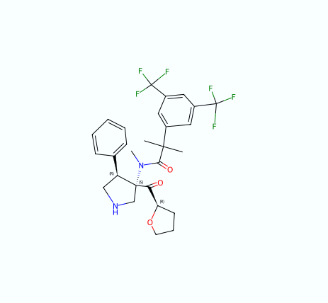 CN(C(=O)C(C)(C)c1cc(C(F)(F)F)cc(C(F)(F)F)c1)[C@]1(C(=O)[C@H]2CCCO2)CNC[C@H]1c1ccccc1